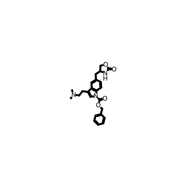 CN(C)CCc1cn(C(=O)OCc2ccccc2)c2ccc(CC3COC(=O)N3)cc12